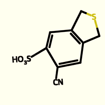 N#Cc1cc2c(cc1S(=O)(=O)O)CSC2